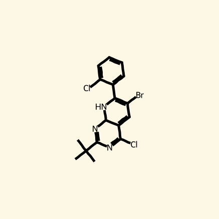 CC(C)(C)C1=NC2NC(c3ccccc3Cl)=C(Br)C=C2C(Cl)=N1